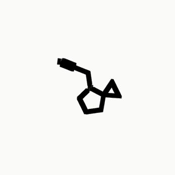 N#CCN1CCCC12CC2